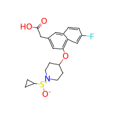 O=C(O)Cc1cc(OC2CCN([S+]([O-])C3CC3)CC2)c2cc(F)ccc2c1